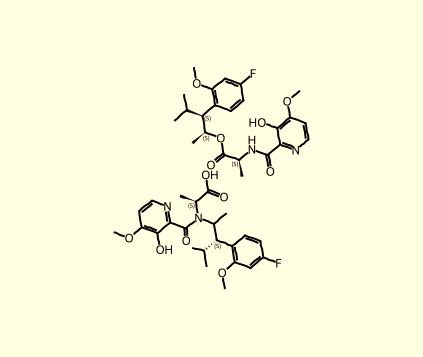 COc1cc(F)ccc1[C@H](C(C)C)C(C)N(C(=O)c1nccc(OC)c1O)[C@@H](C)C(=O)O.COc1cc(F)ccc1[C@H](C(C)C)[C@H](C)OC(=O)[C@H](C)NC(=O)c1nccc(OC)c1O